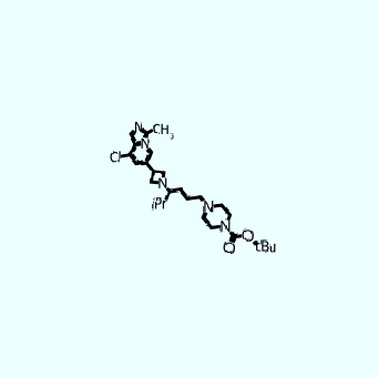 Cc1ncc2c(Cl)cc(C3CN(C(CCCN4CCN(C(=O)OC(C)(C)C)CC4)C(C)C)C3)cn12